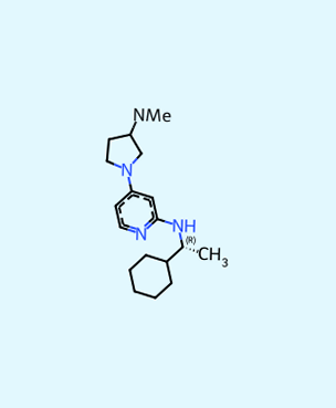 CNC1CCN(c2ccnc(N[C@H](C)C3CCCCC3)c2)C1